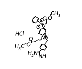 CCOC(=O)CCCn1c(Cc2ccc(C(=N)N)cc2)nc2cc(N(CC(=O)OCC)S(=O)(=O)c3ccccc3)ccc21.Cl